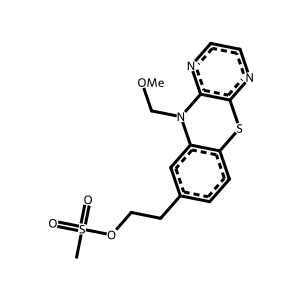 COCN1c2cc(CCOS(C)(=O)=O)ccc2Sc2nccnc21